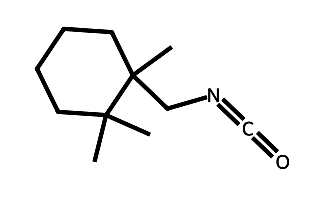 CC1(C)CCCCC1(C)CN=C=O